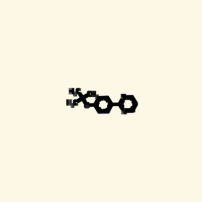 CC(C)(C)Oc1ccc(-c2n[c]ccn2)cc1